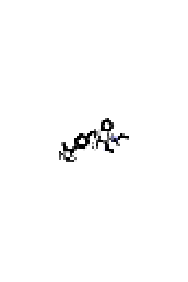 C/C=C(\N=C(/C)CC)C(=O)N(Cc1ccc(C2SC=NC2C)cc1)C1CCCC1